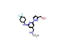 O=C(O)NCc1cc(NC2CCC(F)(F)CC2)nc(-n2ccc(CO)n2)c1